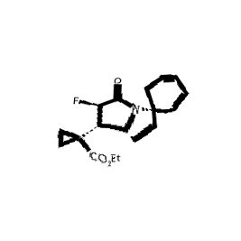 C=C[C@]1(N2C[C@H](C3(C(=O)OCC)CC3)[C@@H](F)C2=O)C=CC=CC1